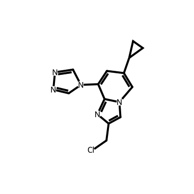 ClCc1cn2cc(C3CC3)cc(-n3cnnc3)c2n1